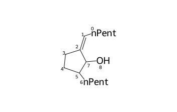 CCCCCC=C1CCC(CCCCC)C1O